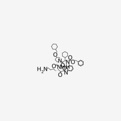 NCCCC[C@H](NC(=O)[C@@H]1C[C@@H](OCC2CCCCC2)CN1C(=O)[C@H](NC(=O)OCc1ccccc1)C1CCCCC1)C(=O)c1nc2ccccc2o1